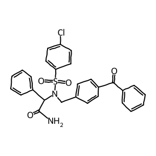 NC(=O)C(c1ccccc1)N(Cc1ccc(C(=O)c2ccccc2)cc1)S(=O)(=O)c1ccc(Cl)cc1